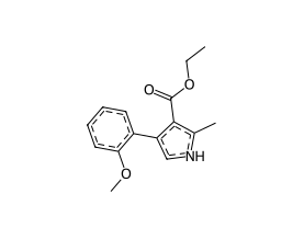 CCOC(=O)c1c(-c2ccccc2OC)c[nH]c1C